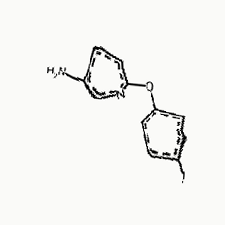 Nc1ccc(Oc2ccc(I)cc2)nc1